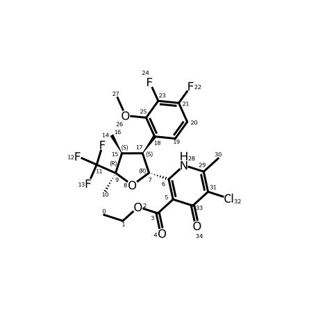 CCOC(=O)c1c([C@@H]2O[C@@](C)(C(F)(F)F)[C@@H](C)[C@H]2c2ccc(F)c(F)c2OC)[nH]c(C)c(Cl)c1=O